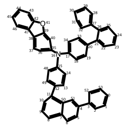 c1ccc(-c2ccc3cccc(-c4ccc(N(c5ccc(-c6ccccc6-c6ccccc6)cc5)c5ccc6c(c5)oc5ccccc56)cc4)c3c2)cc1